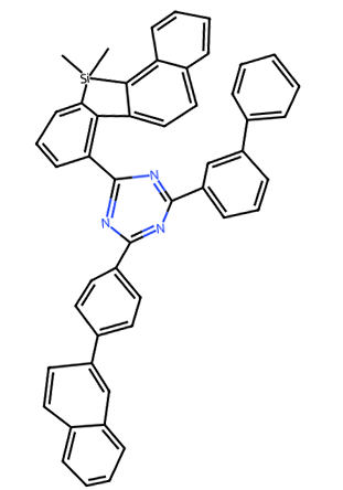 C[Si]1(C)c2cccc(-c3nc(-c4ccc(-c5ccc6ccccc6c5)cc4)nc(-c4cccc(-c5ccccc5)c4)n3)c2-c2ccc3ccccc3c21